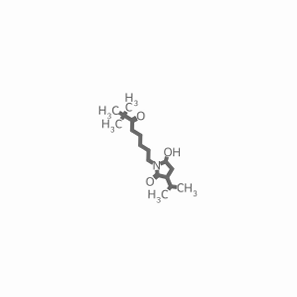 CC(C)C1CC(O)N(CCCCCC(=O)C(C)(C)C)C1=O